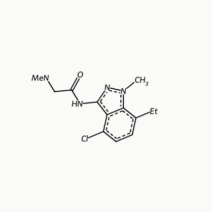 CCc1ccc(Cl)c2c(NC(=O)CNC)nn(C)c12